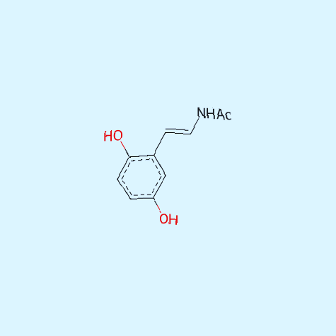 CC(=O)NC=Cc1cc(O)ccc1O